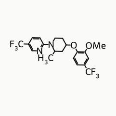 COc1cc(C(F)(F)F)ccc1OC1CCN(c2ccc(C(F)(F)F)cn2)C(C)C1